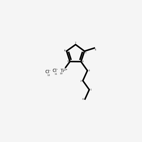 CCCCC1=C(C)CC=[C]1[Ti+2].[Cl-].[Cl-]